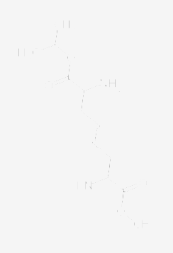 COC(=O)C(N)CSSCC(N)C(=O)OC(C)C